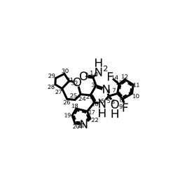 NC(=O)C1=NC(O)(c2c(F)cccc2F)NC(c2cccnc2)=C1C1CCC2CCCC2O1